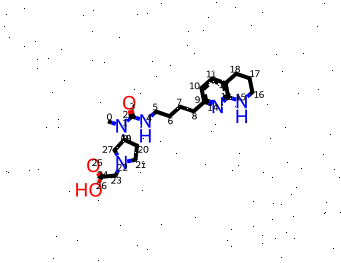 CN(C(=O)NCCCCc1ccc2c(n1)NCCC2)[C@@H]1CCN(CC(=O)O)C1